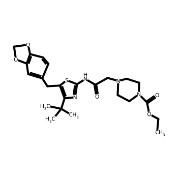 CCOC(=O)N1CCN(CC(=O)Nc2nc(C(C)(C)C)c(Cc3ccc4c(c3)OCO4)s2)CC1